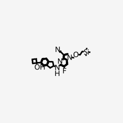 C[Si](C)(C)CCOCn1cc(C#N)c2nc(NC3Cc4ccc(C5(O)CCC5)cc4C3)c(F)cc21